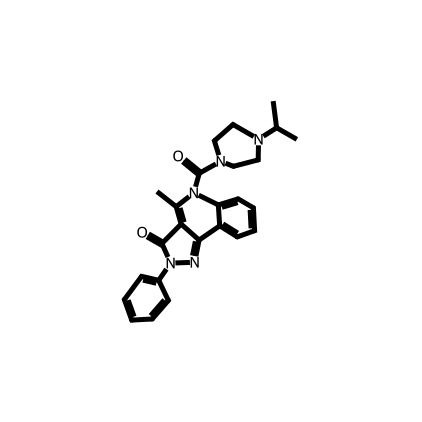 Cc1c2c(=O)n(-c3ccccc3)nc-2c2ccccc2n1C(=O)N1CCN(C(C)C)CC1